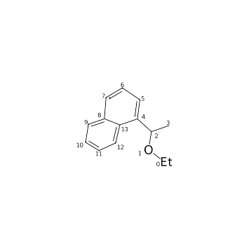 CCOC(C)c1cc[c]c2ccccc12